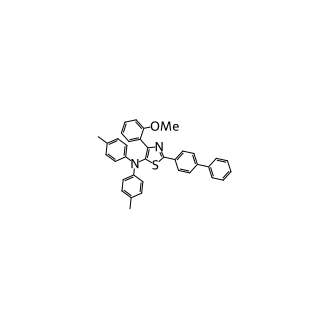 COc1ccccc1-c1nc(-c2ccc(-c3ccccc3)cc2)sc1N(c1ccc(C)cc1)c1ccc(C)cc1